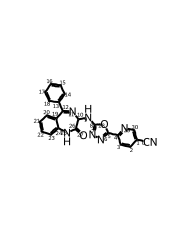 N#Cc1ccc(-c2nnc(NC3N=C(c4ccccc4)c4ccccc4NC3=O)o2)nc1